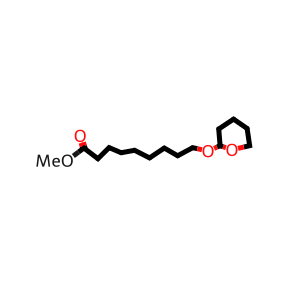 COC(=O)CCCCCCCCOC1CCCCO1